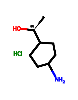 C[C@@H](O)C1CCC(N)CC1.Cl